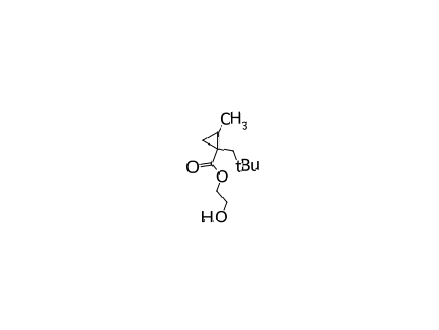 CC1CC1(CC(C)(C)C)C(=O)OCCO